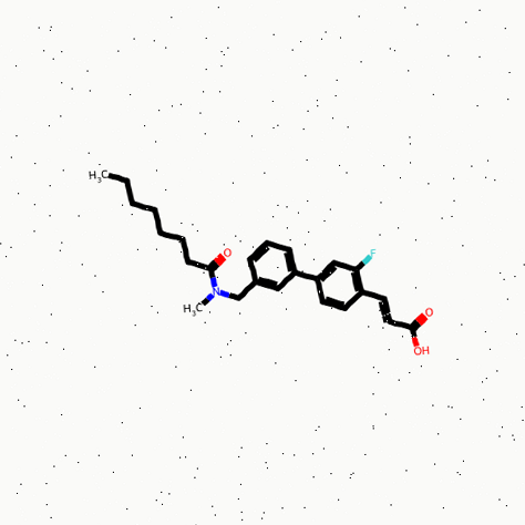 CCCCCCCC(=O)N(C)Cc1cccc(-c2ccc(C=CC(=O)O)c(F)c2)c1